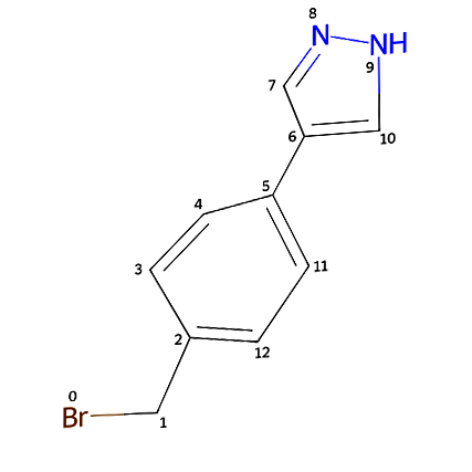 BrCc1ccc(-c2cn[nH]c2)cc1